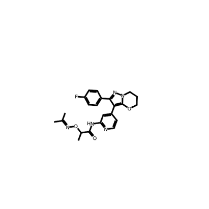 CC(C)=NOC(C)C(=O)Nc1cc(-c2c(-c3ccc(F)cc3)nn3c2OCCC3)ccn1